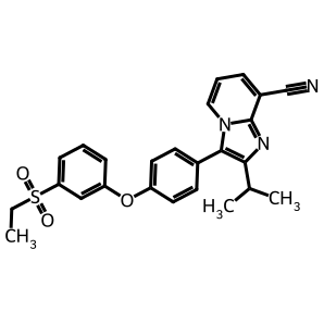 CCS(=O)(=O)c1cccc(Oc2ccc(-c3c(C(C)C)nc4c(C#N)cccn34)cc2)c1